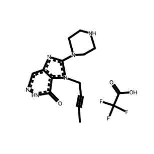 CC#CCn1c(N2CCNCC2)nc2cn[nH]c(=O)c21.O=C(O)C(F)(F)F